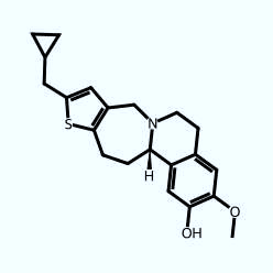 COc1cc2c(cc1O)[C@@H]1CCc3sc(CC4CC4)cc3CN1CC2